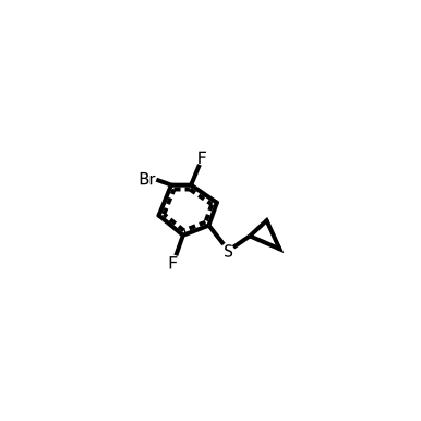 Fc1cc(SC2CC2)c(F)cc1Br